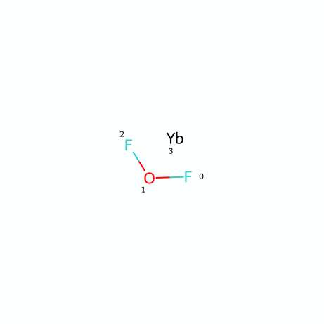 FOF.[Yb]